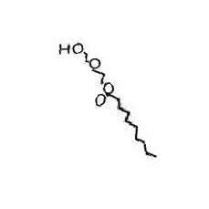 CCCCCCCCCC(=O)OCCCOCCO